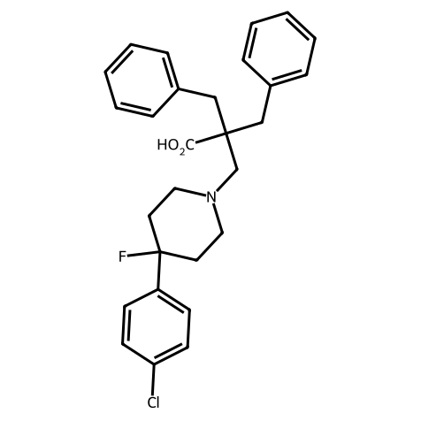 O=C(O)C(Cc1ccccc1)(Cc1ccccc1)CN1CCC(F)(c2ccc(Cl)cc2)CC1